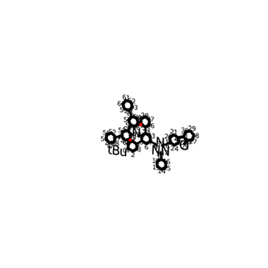 CC(C)(C)c1ccc(-c2cc(-c3nc(-c4ccccc4)nc(-c4ccc5c(c4)oc4ccccc45)n3)cc(-c3ccccc3)c2-n2c3ccc(-c4ccccc4)cc3c3cc(-c4ccccc4)ccc32)cc1